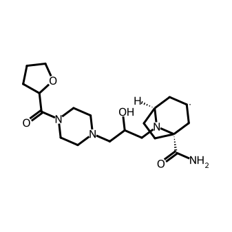 NC(=O)[C@]12C[CH]C[C@H](CC1)N2CC(O)CN1CCN(C(=O)C2CCCO2)CC1